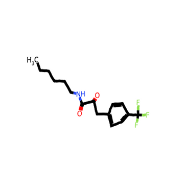 CCCCCCNC(=O)C(=O)Cc1ccc(C(F)(F)F)cc1